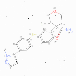 Cn1nccc1-c1ccc(Sc2cccc(C3(C(N)=O)CCOCC3)c2F)cc1